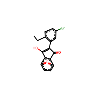 CCc1ccc(Br)cc1C1=C(O)c2c(c3ccc2o3)C1=O